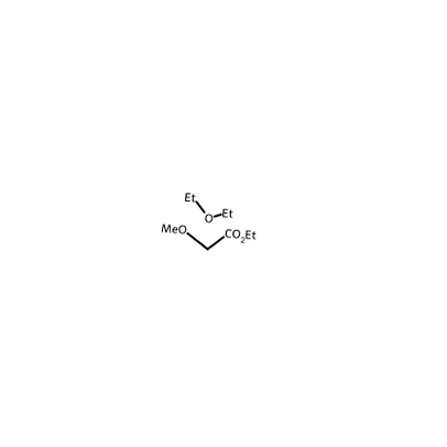 CCOC(=O)COC.CCOCC